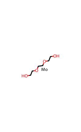 OCCOCCOCCO.[Mo]